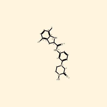 CCN1CCN(c2cccc(NC(=O)C3Cc4c(F)ccc(C)c4N3)c2)CC1=O